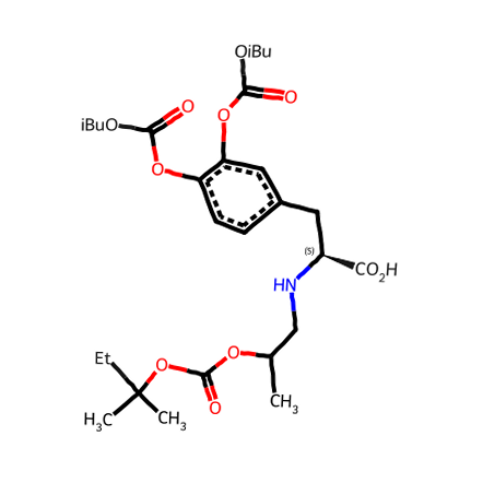 CCC(C)(C)OC(=O)OC(C)CN[C@@H](Cc1ccc(OC(=O)OCC(C)C)c(OC(=O)OCC(C)C)c1)C(=O)O